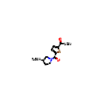 CNC(=O)c1ccc(C(=O)N2CCC(NC(C)=O)C2)s1